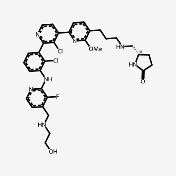 COc1nc(-c2ccnc(-c3cccc(Nc4nccc(CNCCO)c4F)c3Cl)c2Cl)ccc1CCCNC[C@@H]1CCC(=O)N1